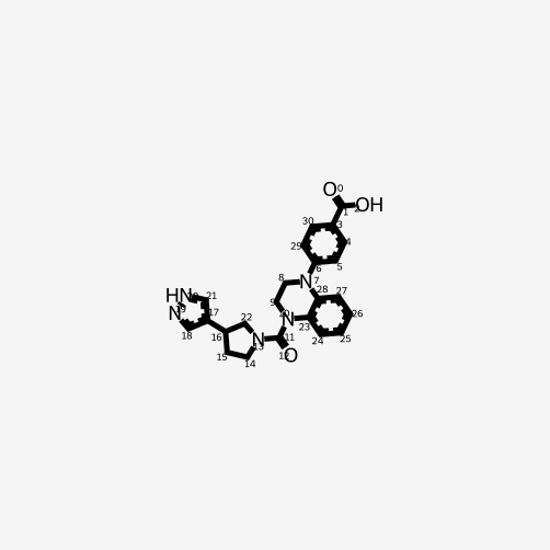 O=C(O)c1ccc(N2CCN(C(=O)N3CCC(c4cn[nH]c4)C3)c3ccccc32)cc1